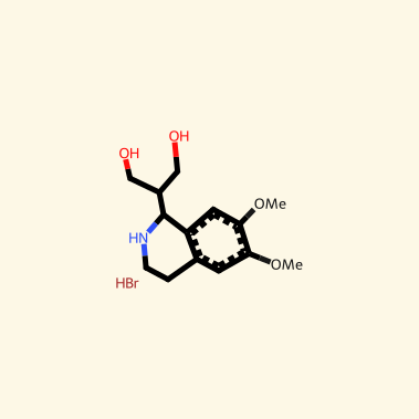 Br.COc1cc2c(cc1OC)C(C(CO)CO)NCC2